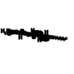 CCCCCCCCCCCCCC(=O)NC(CCC(=O)NC(CCC(=O)NCCOCCOCC(=O)NCCOCCOCC(N)=O)C(=O)O)C(=O)O